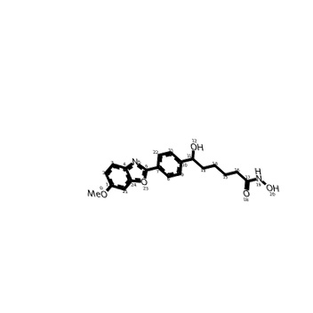 COc1ccc2nc(-c3ccc(C(O)CCCCC(=O)NO)cc3)oc2c1